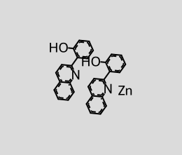 Oc1ccccc1-c1ccc2ccccc2n1.Oc1ccccc1-c1ccc2ccccc2n1.[Zn]